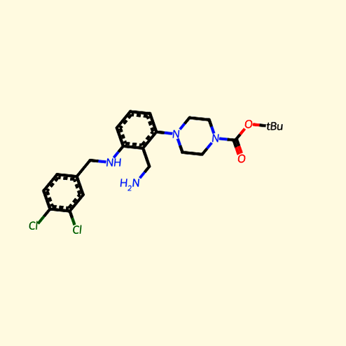 CC(C)(C)OC(=O)N1CCN(c2cccc(NCc3ccc(Cl)c(Cl)c3)c2CN)CC1